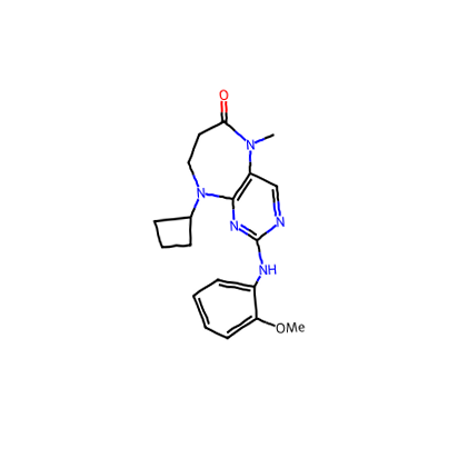 COc1ccccc1Nc1ncc2c(n1)N(C1CCC1)CCC(=O)N2C